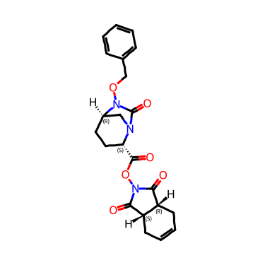 O=C(ON1C(=O)[C@H]2CC=CC[C@H]2C1=O)[C@@H]1CC[C@@H]2CN1C(=O)N2OCc1ccccc1